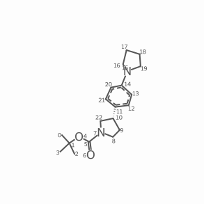 CC(C)(C)OC(=O)N1CC[C@@H](c2ccc(N3CCCC3)cc2)C1